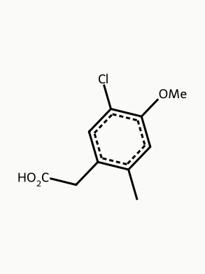 COc1cc(C)c(CC(=O)O)cc1Cl